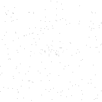 Cc1nc2cc(F)c(F)cc2n1-c1ccnc(-c2ccc(Cl)cc2)n1